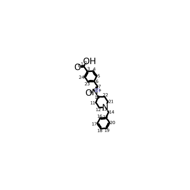 O=C(O)c1ccc(/C=[N+](\[O-])C2CCN(Cc3ccccc3)CC2)cc1